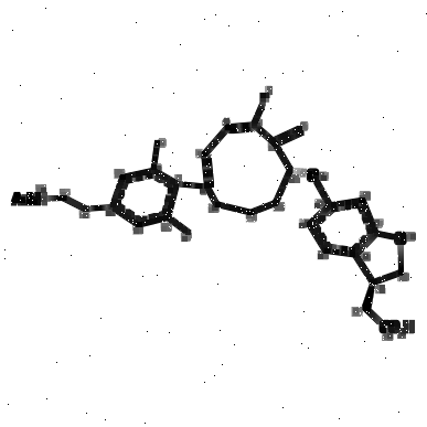 C=C1/C(F)=C\C=C(\c2c(C)cc(CCNC(C)=O)cc2C)CCC[C@H]1Oc1ccc2c(c1)OC[C@H]2CC(=O)O